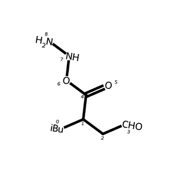 CCC(C)C(CC=O)C(=O)ONN